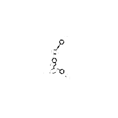 Cn1c(C2CN(C=O)CCN2Cc2ccc(OCC(F)(F)F)cc2)cc2ccc(Oc3cnc(C#Cc4ccc(C(F)(F)F)cc4)cn3)cc21